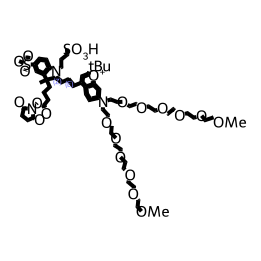 COCCOCCOCCOCCOCCOCCN(CCOCCOCCOCCOCCOCCOC)c1ccc2c(/C=C/C=C3\N(CCCS(=O)(=O)O)c4ccc(S(=O)(=O)[O-])cc4C3(C)CCCC(=O)ON3C(=O)CCC3=O)cc(C(C)(C)C)[o+]c2c1